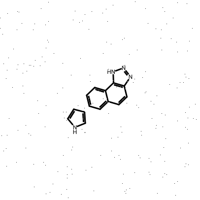 c1cc[nH]c1.c1ccc2c(c1)ccc1nn[nH]c12